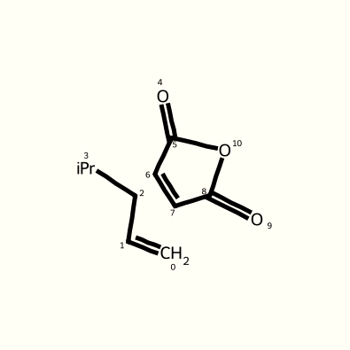 C=CCC(C)C.O=C1C=CC(=O)O1